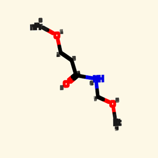 CCCOCCC(=O)NCOCC